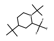 CC(C)(C)C1CCN(C(C)(C)C)C(C(F)(F)F)C1